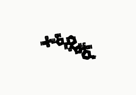 C[C@@](O)(c1cccc(Br)c1)c1csc(C(=O)c2cncnc2N[C@@H]2C[C@H](CNS(=O)(=O)O)[C@@H](O)C2)c1